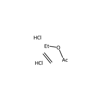 C=C.CCOC(C)=O.Cl.Cl